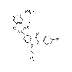 COCCOc1ccc(NC(=O)c2cc(CN)ccc2Cl)cc1C(=O)Nc1ccc(Br)cc1